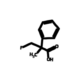 CC(CF)(C(=O)O)c1ccccc1